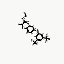 CCOC(=O)C(C)Oc1ccc(Sc2cc(C(F)(F)F)cc(C(F)(F)F)c2)cc1